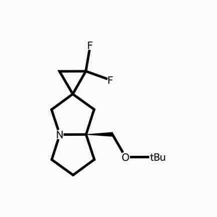 CC(C)(C)OC[C@@]12CCCN1CC1(CC1(F)F)C2